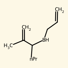 C=CCBC(CCC)C(=C)C